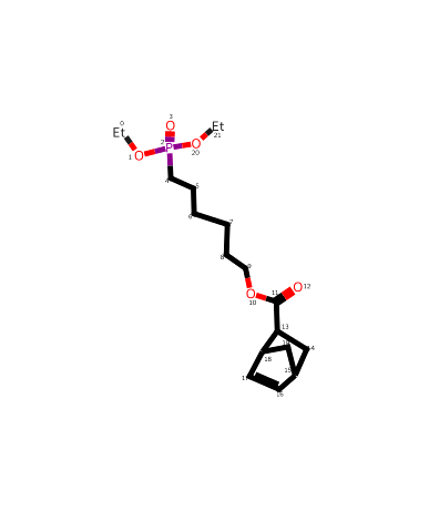 CCOP(=O)(CCCCCCOC(=O)C1CC2C=CC1C2)OCC